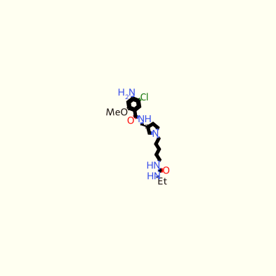 CCNC(=O)NCCCCCN1CC[C@H](CNC(=O)c2cc(Cl)c(N)cc2OC)C1